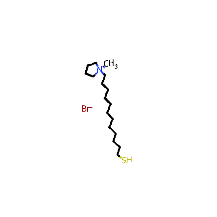 C[N+]1(CCCCCCCCCCCCS)CCCC1.[Br-]